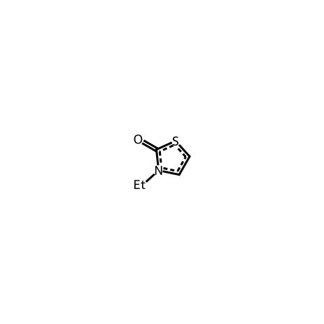 CCn1ccsc1=O